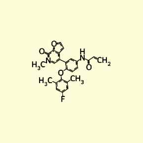 C=CC(=O)Nc1ccc(Oc2c(C)cc(F)cc2C)c(-c2cn(C)c(=O)c3occc23)c1